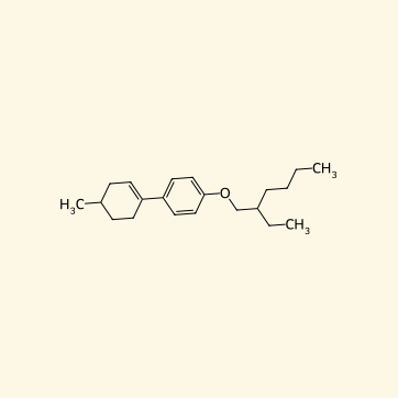 CCCCC(CC)COc1ccc(C2=CCC(C)CC2)cc1